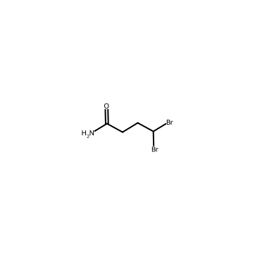 NC(=O)CCC(Br)Br